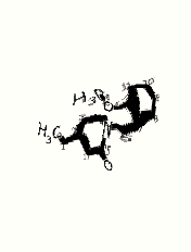 CCc1ccn(Cc2ccccc2OC)c(=O)c1